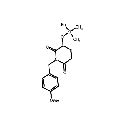 COc1ccc(CN2C(=O)CCC(O[Si](C)(C)C(C)(C)C)C2=O)cc1